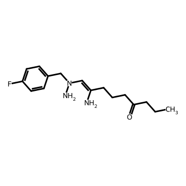 CCCC(=O)CCC/C(N)=C/N(N)Cc1ccc(F)cc1